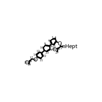 CCCCCCCC(Oc1cccc(C2=CCC(c3ccc(OCC4CO4)cc3)C=C2)c1)C1CO1